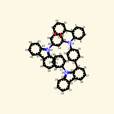 c1ccc(-c2ccccc2N(c2ccc(-c3cccc4c5ccccc5n(-c5ccccc5)c34)cc2)c2cccc(-n3c4ccccc4c4ccccc43)c2)cc1